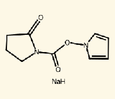 O=C1CCCN1C(=O)On1cccc1.[NaH]